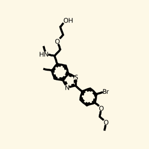 CNC(COCCO)c1cc2sc(-c3ccc(OCOC)c(Br)c3)nc2cc1C